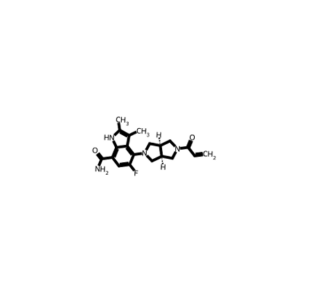 C=CC(=O)N1C[C@@H]2CN(c3c(F)cc(C(N)=O)c4[nH]c(C)c(C)c34)C[C@@H]2C1